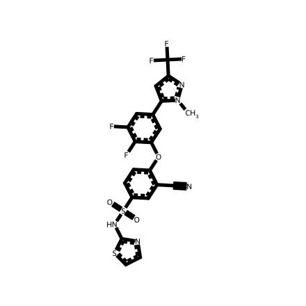 Cn1nc(C(F)(F)F)cc1-c1cc(F)c(F)c(Oc2ccc(S(=O)(=O)Nc3nccs3)cc2C#N)c1